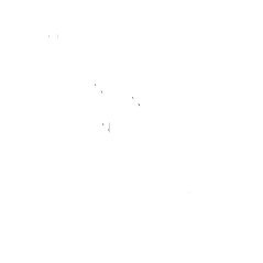 CC(C)c1ccc(-c2cnc(N3CCC(O)CC3)nc2)cc1